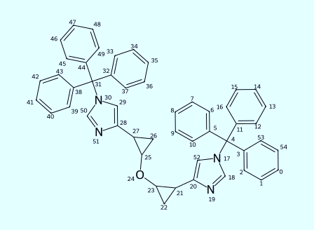 c1ccc(C(c2ccccc2)(c2ccccc2)n2cnc(C3CC3OC3CC3c3cn(C(c4ccccc4)(c4ccccc4)c4ccccc4)cn3)c2)cc1